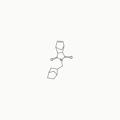 O=C1C2C3C=CC(C3)C2C(=O)N1CC1CC2CCC1C2